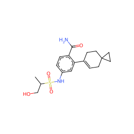 CC(CO)S(=O)(=O)Nc1ccc(C(N)=O)c(C2=CCC3(CC2)CC3)c1